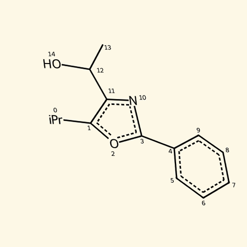 CC(C)c1oc(-c2ccccc2)nc1C(C)O